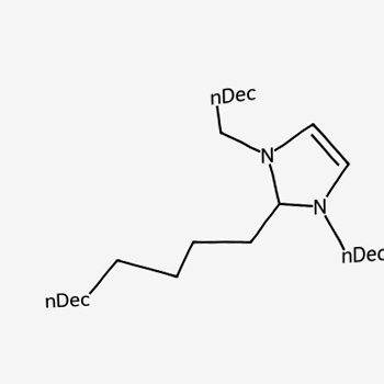 CCCCCCCCCCCCCCC1N(CCCCCCCCCC)C=CN1CCCCCCCCCCC